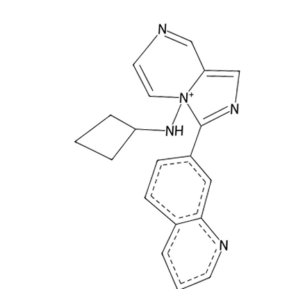 C1=C[N+]2(NC3CCC3)C(=CN=C2c2ccc3cccnc3c2)C=N1